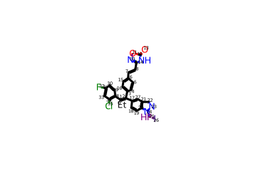 CC/C(=C(/c1ccc(/C=C/c2noc(=O)[nH]2)cc1)c1ccc2c(cnn2PI)c1)c1ccc(F)cc1Cl